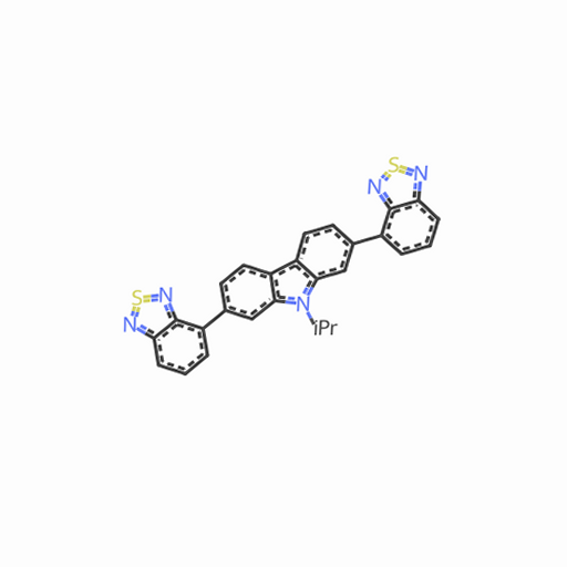 CC(C)n1c2cc(-c3cccc4nsnc34)ccc2c2ccc(-c3cccc4nsnc34)cc21